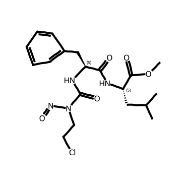 COC(=O)[C@H](CC(C)C)NC(=O)[C@H](Cc1ccccc1)NC(=O)N(CCCl)N=O